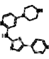 c1cc(-c2cnc(Nc3cc(N4CCNCC4)ccn3)s2)ccn1